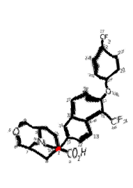 O=C(O)C1CC2COCC(C1)N2Cc1ccc2c(C(F)(F)F)c(OC3CCC(C(F)(F)F)CC3)ccc2c1